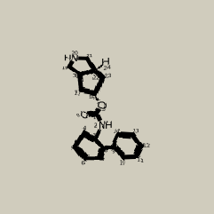 O=C(Nc1ccccc1-c1ccccc1)O[C@@H]1CC2CNC[C@H]2C1